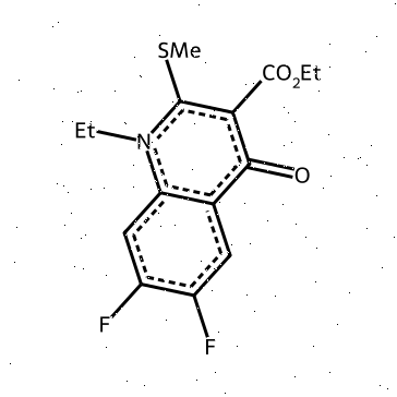 CCOC(=O)c1c(SC)n(CC)c2cc(F)c(F)cc2c1=O